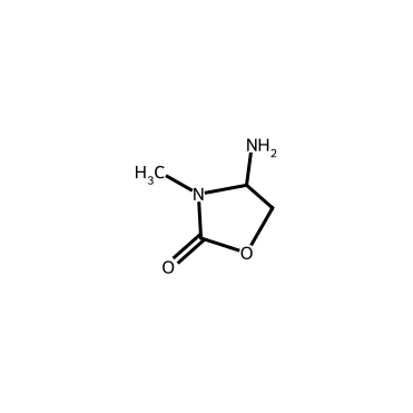 CN1C(=O)OCC1N